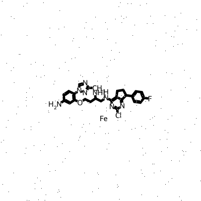 Cc1ncn(-c2ccc(N)cc2OCCC(N)CNc2nc(Cl)nc3c2CCC3c2ccc(F)cc2)n1.[Fe]